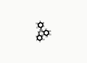 c1ccc([CH2][Bi]([c]2ccccc2)[c]2ccccc2)cc1